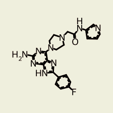 Nc1nc(N2CCN(CC(=O)Nc3cccnc3)CC2)c2nc(-c3ccc(F)cc3)[nH]c2n1